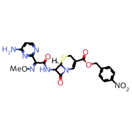 CON=C(C(=O)NC1C(=O)N2C=C(C(=O)OCc3ccc([N+](=O)[O-])cc3)CS[C@H]12)c1nccc(N)n1